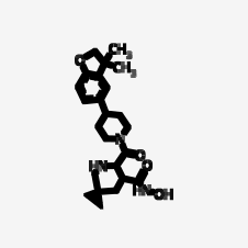 CC1(C)COc2ccc(C3CCN(C(=O)C4NCC5(CC5)CC4C(=O)NO)CC3)cc21